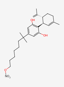 C=C(C)[C@@H]1CCC(C)=C[C@H]1c1c(O)cc(C(C)(C)CCCCCCO[N+](=O)[O-])cc1O